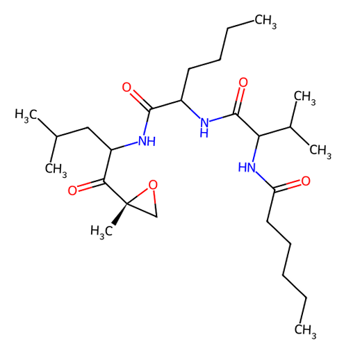 CCCCCC(=O)NC(C(=O)NC(CCCC)C(=O)NC(CC(C)C)C(=O)[C@@]1(C)CO1)C(C)C